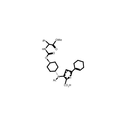 COC(=O)C(NC(=O)O[C@H]1CC[C@H](N(C(C)=O)c2cc(C3=CCCCC3)sc2C(=O)O)CC1)C(C)C